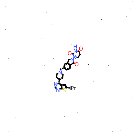 CC(C)c1cc2c(C3=CCN(Cc4ccc5c(c4)CN(N4CCC(=O)NC4=O)C5=O)CC3)ncnc2s1